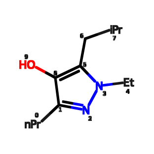 CCCc1nn(CC)c(CC(C)C)c1O